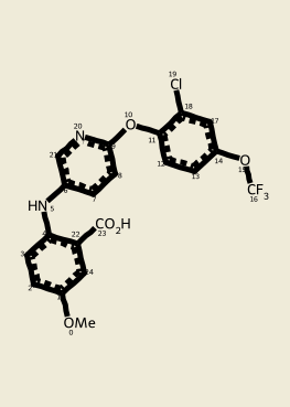 COc1ccc(Nc2ccc(Oc3ccc(OC(F)(F)F)cc3Cl)nc2)c(C(=O)O)c1